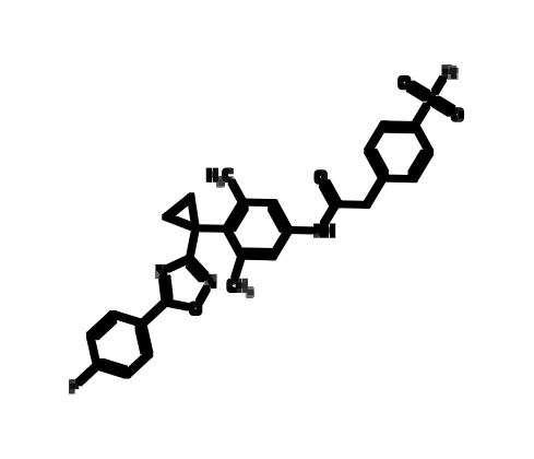 CCS(=O)(=O)c1ccc(CC(=O)Nc2cc(C)c(C3(c4noc(-c5ccc(F)cc5)n4)CC3)c(C)c2)cc1